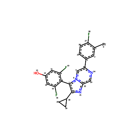 CC(C)c1cc(-c2cn3c(-c4c(F)cc(O)cc4F)c(C4CC4)nc3cn2)ccc1F